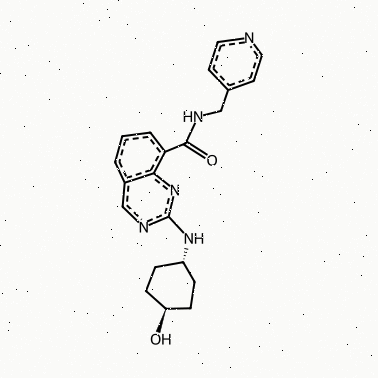 O=C(NCc1ccncc1)c1cccc2cnc(N[C@H]3CC[C@H](O)CC3)nc12